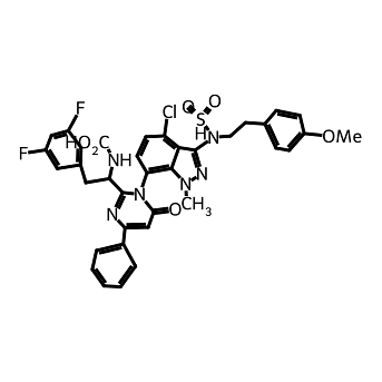 COc1ccc(CCN(c2nn(C)c3c(-n4c(C(Cc5cc(F)cc(F)c5)NC(=O)O)nc(-c5ccccc5)cc4=O)ccc(Cl)c23)[SH](=O)=O)cc1